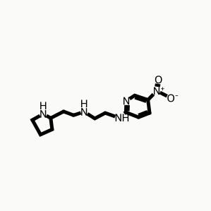 O=[N+]([O-])c1ccc(NCCNCCC2CCCN2)nc1